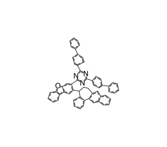 c1ccc(-c2ccc(-c3nc(-c4ccc(-c5ccccc5)cc4)nc(-c4cc5oc6ccccc6c5cc4C4CCc5cc6ccccc6cc5-c5ccccc54)n3)cc2)cc1